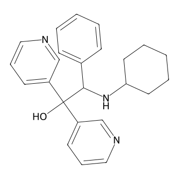 OC(c1cccnc1)(c1cccnc1)C(NC1CCCCC1)c1ccccc1